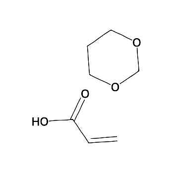 C1COCOC1.C=CC(=O)O